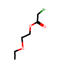 CCOCCOC(=O)CBr